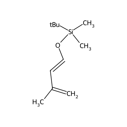 C=C(C)/C=C/O[Si](C)(C)C(C)(C)C